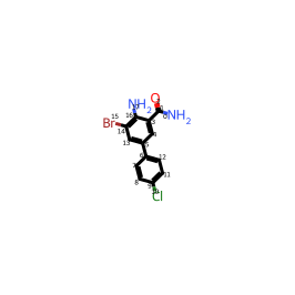 NC(=O)c1cc(-c2ccc(Cl)cc2)cc(Br)c1N